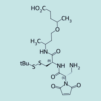 CC(CCOC(C)CCC(=O)O)NC(=O)[C@H](CSSC(C)(C)C)NC(=O)[C@H](CN)N1C(=O)C=CC1=O